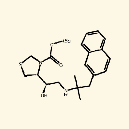 CC(C)(Cc1ccc2ccccc2c1)NC[C@@H](O)[C@H]1CSCN1C(=O)OC(C)(C)C